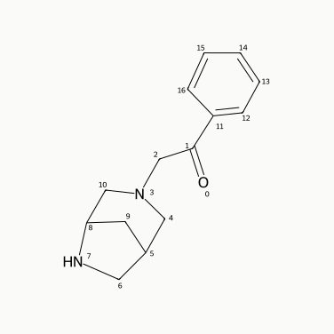 O=C(CN1CC2CNC(C2)C1)c1ccccc1